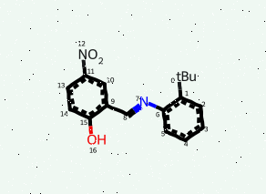 CC(C)(C)c1ccccc1/N=C/c1cc([N+](=O)[O-])ccc1O